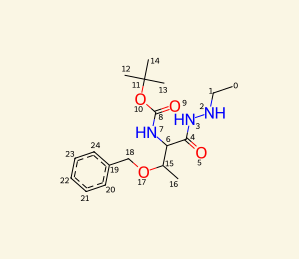 CCNNC(=O)C(NC(=O)OC(C)(C)C)C(C)OCc1ccccc1